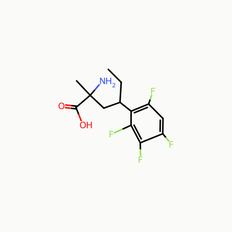 CCC(CC(C)(N)C(=O)O)c1c(F)cc(F)c(F)c1F